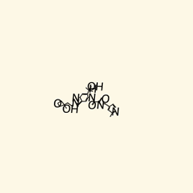 Cc1cc(-c2nc(C(=O)Nc3cc4cn(CCC5(O)COC5)nc4cc3C(C)(C)O)co2)ccn1